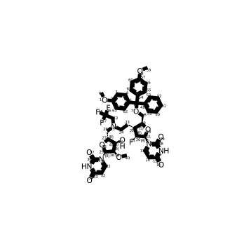 COc1ccc(C(OC[C@H]2O[C@@H](n3ccc(=O)[nH]c3=O)[C@H](F)[C@@H]2CCN(C[C@H]2O[C@@H](n3ccc(=O)[nH]c3=O)[C@H](OC)[C@@H]2O)CC(F)(F)F)(c2ccccc2)c2ccc(OC)cc2)cc1